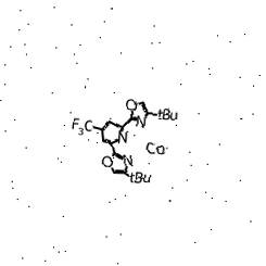 CC(C)(C)c1coc(-c2cc(C(F)(F)F)cc(-c3nc(C(C)(C)C)co3)n2)n1.[Co]